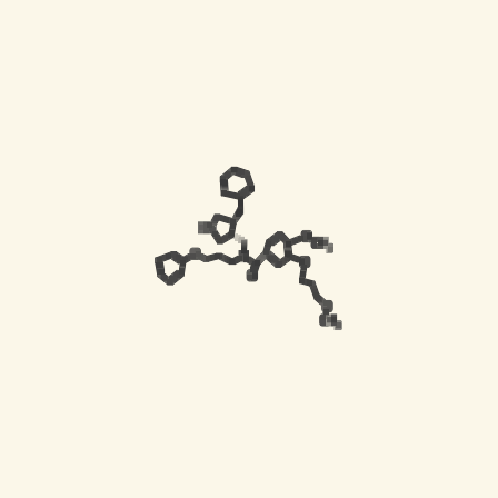 COCCCOc1cc(C(=O)N(CCCOc2ccccc2)C[C@@H]2CNC[C@H]2Cc2ccccc2)ccc1OC